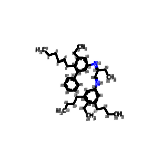 CCCCCCc1c(CC)cc(N=C(C=Nc2cc(CCCC)c(CC)c(CCCC)c2)CC)cc1-c1ccccc1